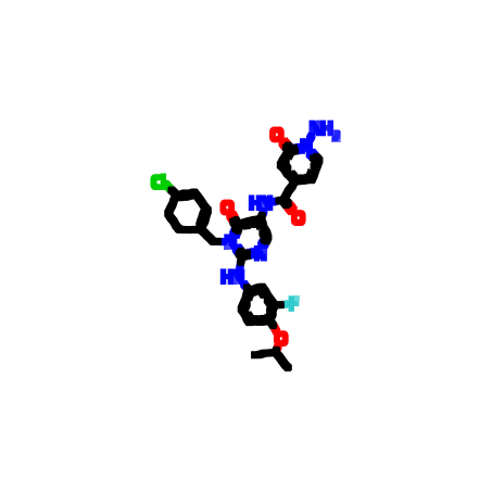 CC(C)Oc1ccc(Nc2ncc(NC(=O)c3ccn(N)c(=O)c3)c(=O)n2CC2=CC=C(Cl)CC2)cc1F